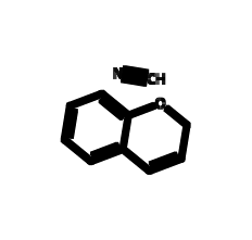 C#N.C1=Cc2ccccc2OC1